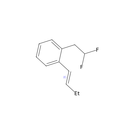 CC/C=C/c1ccccc1CC(F)F